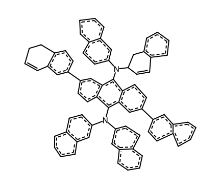 C1=Cc2cc(-c3ccc4c(N(c5ccc6ccccc6c5)c5ccc6ccccc6c5)c5cc(-c6ccc7ccccc7c6)ccc5c(N(c5ccc6ccccc6c5)C5C=Cc6ccccc6C5)c4c3)ccc2CC1